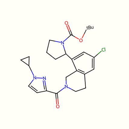 CC(C)(C)OC(=O)N1CCCC1c1cc(Cl)cc2c1CN(C(=O)c1ccn(C3CC3)n1)CC2